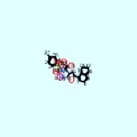 COC[C@H]1OC(c2cccc3ccccc23)C[C@@H]1C(NS(=O)(=O)c1ccc(C)cc1)C(=O)O